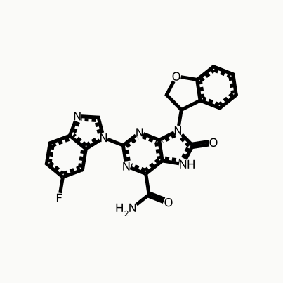 NC(=O)c1nc(-n2cnc3ccc(F)cc32)nc2c1[nH]c(=O)n2C1COc2ccccc21